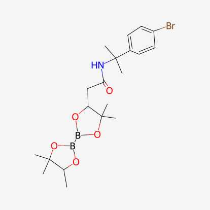 CC1OB(B2OC(CC(=O)NC(C)(C)c3ccc(Br)cc3)C(C)(C)O2)OC1(C)C